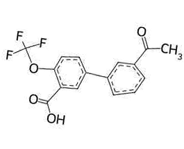 CC(=O)c1cccc(-c2ccc(OC(F)(F)F)c(C(=O)O)c2)c1